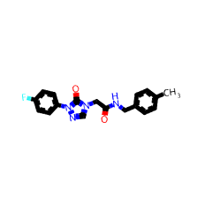 Cc1ccc(CNC(=O)Cn2cnn(-c3ccc(F)cc3)c2=O)cc1